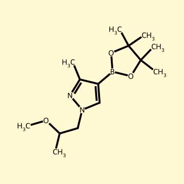 COC(C)Cn1cc(B2OC(C)(C)C(C)(C)O2)c(C)n1